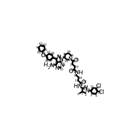 CC1CN(c2ccc(Cl)c(Cl)c2)N=C1NC(=O)CCCNC(=O)CCC(=O)N1CCC[C@@H](n2nc(-c3ccc(Oc4ccccc4)cc3)c3c(N)ncnc32)C1